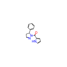 O=C(c1ccc[nH]1)N1N=CCC1c1ccccc1